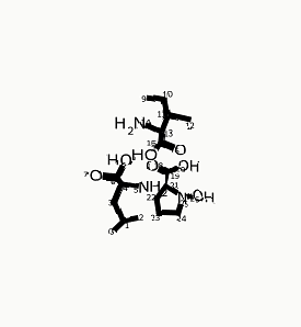 CC(C)CC(N)C(=O)O.CCC(C)C(N)C(=O)O.O=C(O)[C@@H]1CCCN1O